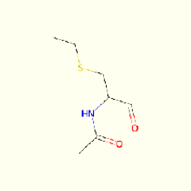 CCSCC(C=O)NC(C)=O